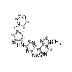 CNc1nc(Nc2ccc(CN3CCOCC3)cc2F)cnc1-c1cncc2c1ncn2C